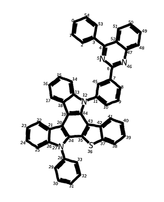 c1ccc(-c2nc(-c3cccc(-n4c5ccccc5c5c6c7ccccc7n(-c7ccccc7)c6c6sc7ccccc7c6c54)c3)nc3ccccc23)cc1